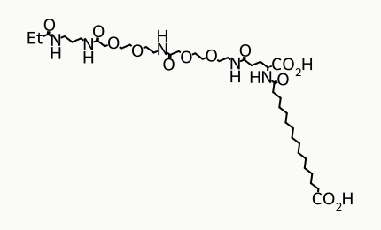 CCC(=O)NCCCNC(=O)COCCOCCNC(=O)COCCOCCNC(=O)CC[C@H](NC(=O)CCCCCCCCCCCCCCC(=O)O)C(=O)O